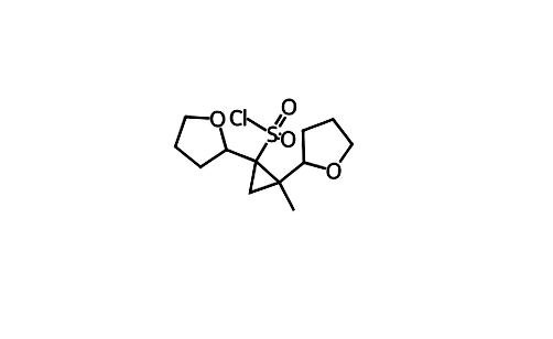 CC1(C2CCCO2)CC1(C1CCCO1)S(=O)(=O)Cl